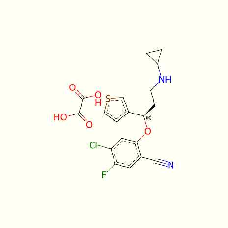 N#Cc1cc(F)c(Cl)cc1O[C@H](CCNC1CC1)c1ccsc1.O=C(O)C(=O)O